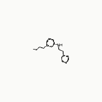 CCCCc1cccc(NCCc2ccccc2)c1